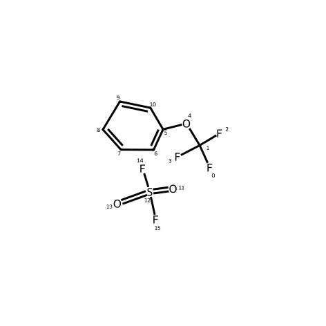 FC(F)(F)Oc1ccccc1.O=S(=O)(F)F